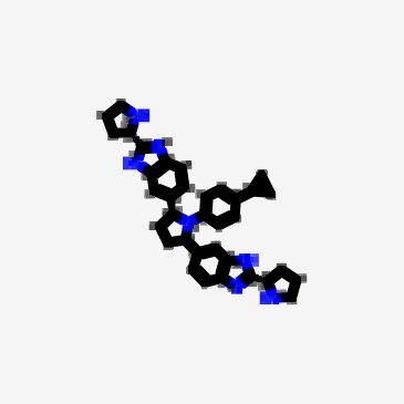 c1cc(N2C(c3ccc4nc([C@@H]5CCCN5)[nH]c4c3)CC[C@H]2c2ccc3nc([C@@H]4CCCN4)[nH]c3c2)ccc1C1CC1